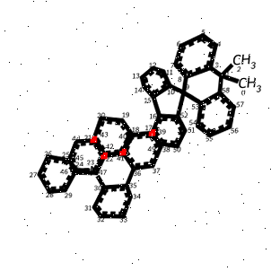 CC1(C)c2ccccc2C2(c3ccccc3-c3c(-c4cccc(N(c5ccccc5)c5ccccc5-c5ccccc5-c5ccccc5)c4)cccc32)c2ccccc21